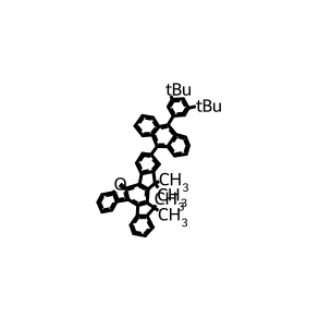 CC(C)(C)c1cc(-c2c3ccccc3c(-c3ccc4c(c3)C(C)(C)c3c5c(c6c(oc7ccccc76)c3-4)-c3ccccc3C5(C)C)c3ccccc23)cc(C(C)(C)C)c1